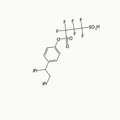 CC(C)CC(c1ccc(OS(=O)(=O)C(F)(F)C(F)(F)C(F)(F)S(=O)(=O)O)cc1)C(C)C